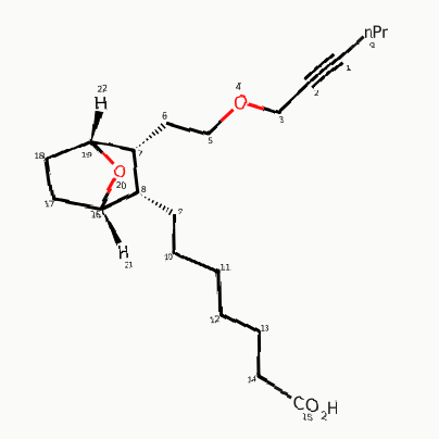 CCCC#CCOCC[C@@H]1[C@H](CCCCCCC(=O)O)[C@@H]2CC[C@H]1O2